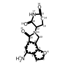 Nc1cc2c(c3occc13)CN(C1CCC(=O)NC1=O)C2=O